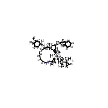 CC1(S(=O)(=O)NC(=O)[C@@]23C[C@H]2/C=C\CCCCC[C@H](Nc2ccc(F)c(F)c2)C(=O)N2C[C@H](Oc4nc5ccccc5s4)C[C@H]2C(=O)N3)CC1